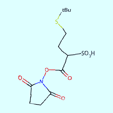 CC(C)(C)SCCC(C(=O)ON1C(=O)CCC1=O)S(=O)(=O)O